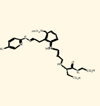 O=Cc1ccc(NN=CCc2c(NCCCN[C@H](CC(=O)O)C(=O)NCC(=O)O)cccc2S(=O)(=O)O)nc1